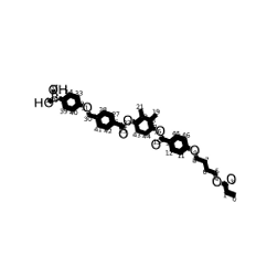 C=CC(=O)OCCCCOc1ccc(C(=O)OC2=C(C)C(C)=C(OC(=O)c3ccc(COc4ccc(B(O)O)cc4)cc3)CC2)cc1